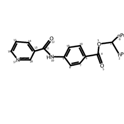 CCCC(CCC)OC(=O)c1ccc(NC(=O)c2cccnc2)cc1